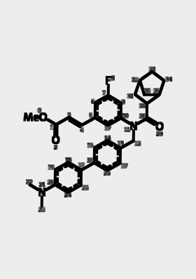 COC(=O)/C=C/c1cc(F)cc(N(Cc2ccc(-c3ccc(N(C)C)cc3)cc2)C(=O)C2CC3CCC2C3)c1